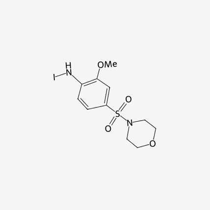 COc1cc(S(=O)(=O)N2CCOCC2)ccc1NI